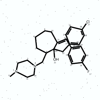 CN1CCN(CC2CCCC/C(=C/c3ccc(F)cc3)C2(O)Cc2ccc(Cl)cc2)CC1